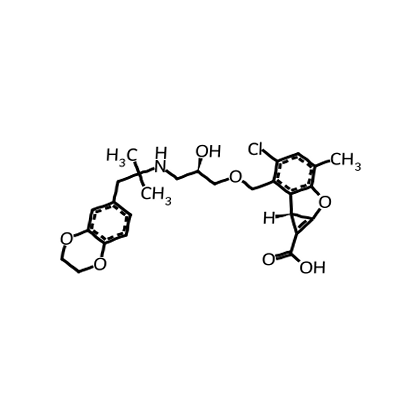 Cc1cc(Cl)c(COC[C@H](O)CNC(C)(C)Cc2ccc3c(c2)OCCO3)c2c1OC1=C(C(=O)O)[C@@H]12